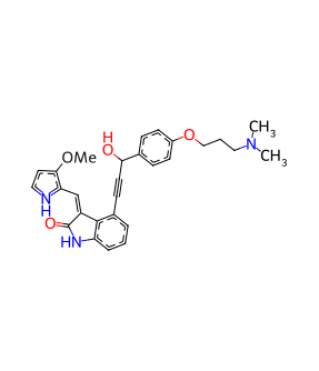 COc1cc[nH]c1C=C1C(=O)Nc2cccc(C#CC(O)c3ccc(OCCCN(C)C)cc3)c21